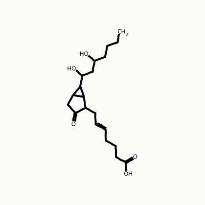 CCCCC(O)CC(O)C1C2CC(=O)C(CC=CCCCC(=O)O)C21